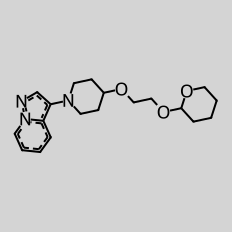 c1ccn2ncc(N3CCC(OCCOC4CCCCO4)CC3)c2c1